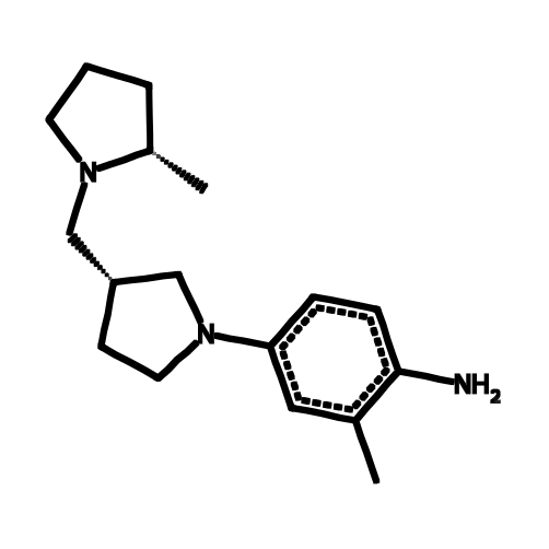 Cc1cc(N2CC[C@H](CN3CCC[C@@H]3C)C2)ccc1N